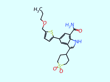 CCCOCc1ccc(-c2cc(C(N)=O)c3[nH]cc(C4CCS(=O)(=O)CC4)c3c2)s1